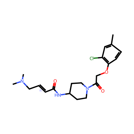 Cc1ccc(OCC(=O)N2CCC(NC(=O)/C=C/CN(C)C)CC2)c(Cl)c1